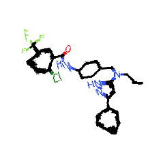 CCCN(CC1CCC(NC(=O)c2cc(C(F)(F)F)ccc2Cl)CC1)c1cc(-c2ccccc2)n[nH]1